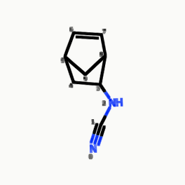 N#CNC1CC2C=CC1C2